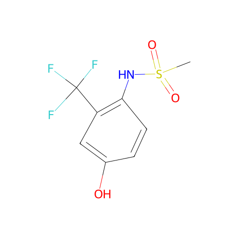 CS(=O)(=O)Nc1ccc(O)cc1C(F)(F)F